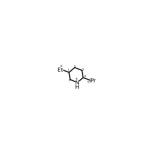 CCC1CCC(C(C)C)NC1